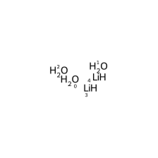 O.O.O.[LiH].[LiH]